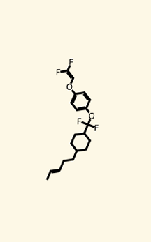 C/C=C/CCC1CCC(C(F)(F)Oc2ccc(OC=C(F)F)cc2)CC1